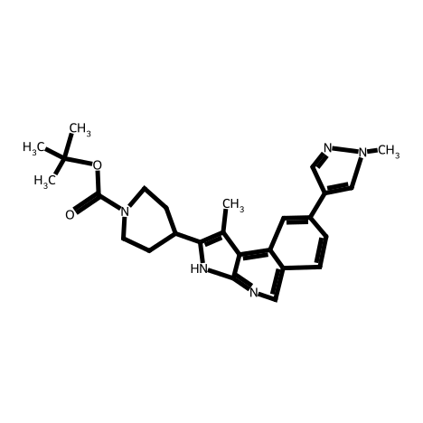 Cc1c(C2CCN(C(=O)OC(C)(C)C)CC2)[nH]c2ncc3ccc(-c4cnn(C)c4)cc3c12